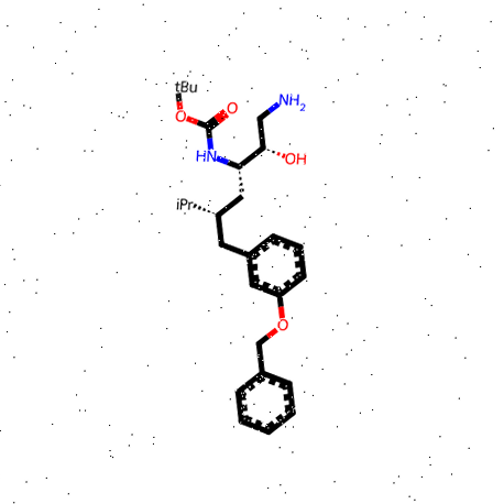 CC(C)[C@@H](Cc1cccc(OCc2ccccc2)c1)C[C@H](NC(=O)OC(C)(C)C)[C@@H](O)CN